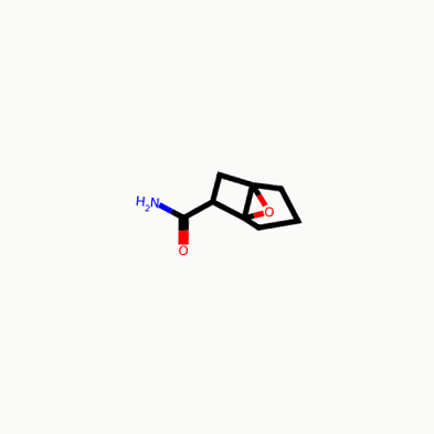 NC(=O)C1CC23CCCC12O3